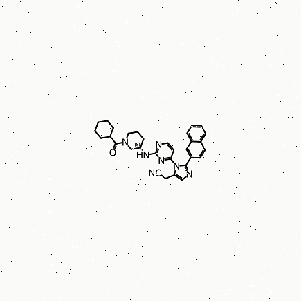 N#CCc1cnc(-c2ccc3ccccc3c2)n1-c1ccnc(N[C@H]2CCCN(C(=O)C3CCCCC3)C2)n1